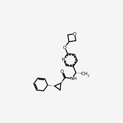 C[C@H](NC(=O)[C@H]1C[C@@H]1C1C=CC=CC1)c1ccc(OC2COC2)nc1